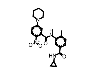 Cc1ccc(C(=O)NC2CC2)cc1NC(=O)c1cc(N2CCCCC2)ccc1[N+](=O)[O-]